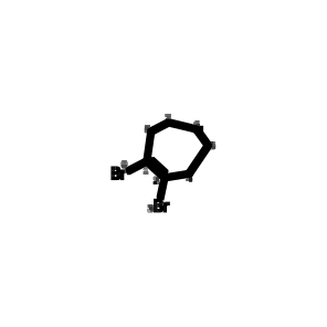 BrC1=C(Br)CC[C]CC1